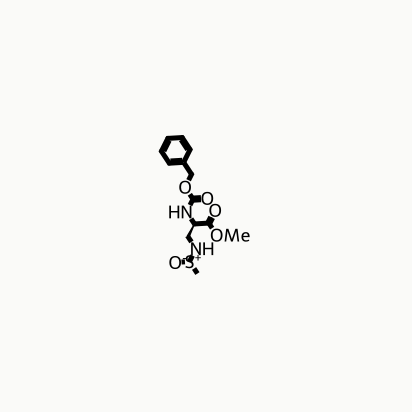 COC(=O)[C@@H](CN[S+](C)[O-])NC(=O)OCc1ccccc1